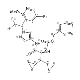 COc1ncc(F)cc1C(C(F)F)n1cc(NC(=O)[C@@H](NC(=O)OCc2ccccc2)C(C2CC2)C2CC2)cn1